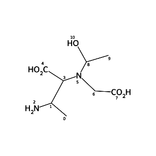 CC(N)C(C(=O)O)N(CC(=O)O)C(C)O